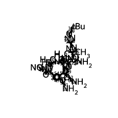 Cc1nc(-c2cnc(OCCC(C)(C)C)nc2)nc(C)c1C(=O)N[C@@H](CCN)C(=O)N(C)[C@@H]1C(=O)N[C@@H](C)C(=O)N[C@H](C(=O)NCC#N)Cc2ccc(OCCN)c(c2)-c2cc1ccc2OCCN